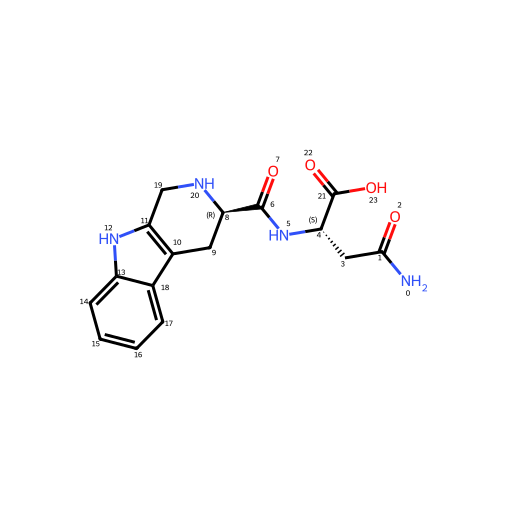 NC(=O)C[C@H](NC(=O)[C@H]1Cc2c([nH]c3ccccc23)CN1)C(=O)O